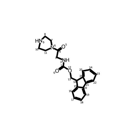 O=C(NCC(=O)N1CCNCC1)OCC1c2ccccc2-c2ccccc21